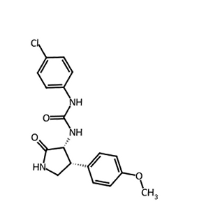 COc1ccc([C@@H]2CNC(=O)[C@@H]2NC(=O)Nc2ccc(Cl)cc2)cc1